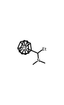 CCC(N(C)C)[C]12[CH]3[CH]4[CH]5[CH]1[Fe]45321678[CH]2[CH]1[CH]6[CH]7[CH]28